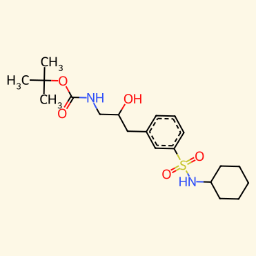 CC(C)(C)OC(=O)NCC(O)Cc1cccc(S(=O)(=O)NC2CCCCC2)c1